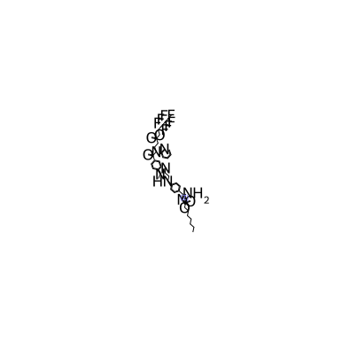 CCCCCCOC(=O)/N=C(\N)c1ccc(NCc2nc3cc(C(=O)N(CCC(=O)OCC(F)(F)C(F)(F)C(F)(F)F)c4ccccn4)ccc3n2C)cc1